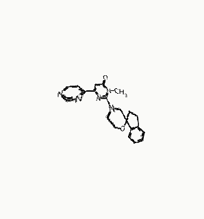 Cn1c(N2CCOC3(CCc4ccccc43)C2)nc(-c2ccncn2)cc1=O